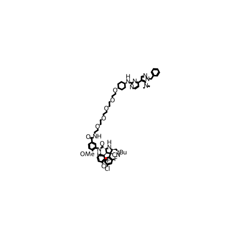 COc1ccc(C(=O)NCCOCCOCCOCCOCCO[C@H]2CC[C@H](Nc3nccc(-c4cnn(Cc5ccccc5)c4N(C)C)n3)CC2)cc1NC(=O)[C@@H]1N[C@@H](CC(C)(C)C)[C@](C#N)(c2ccc(Cl)cc2F)[C@H]1c1cccc(Cl)c1F